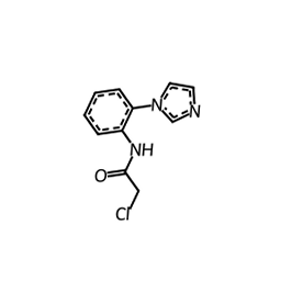 O=C(CCl)Nc1ccccc1-n1ccnc1